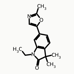 CCN1C(=O)C(C)(C)c2ccc(-c3cnc(C)o3)cc21